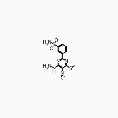 [C-]#[N+]c1c(NN)nc(-c2cccc(S(N)(=O)=O)c2)nc1SC